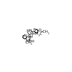 CC(C)Oc1ccc(C(=N)NC(=S)Nc2ncccc2N(C)C(=O)O)nc1